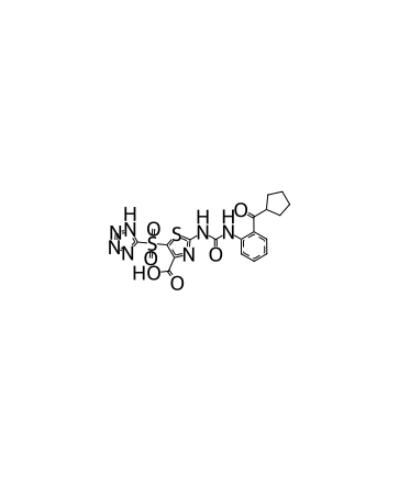 O=C(Nc1nc(C(=O)O)c(S(=O)(=O)c2nnn[nH]2)s1)Nc1ccccc1C(=O)C1CCCC1